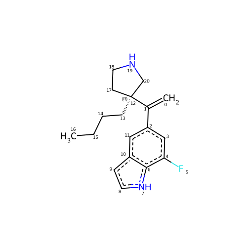 C=C(c1cc(F)c2[nH]ccc2c1)[C@@]1(CCCC)CCNC1